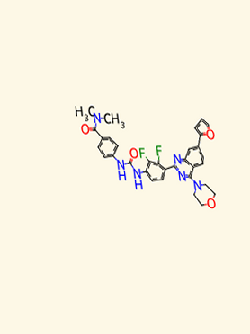 CN(C)C(=O)c1ccc(NC(=O)Nc2ccc(-c3nc(N4CCOCC4)c4ccc(-c5ccco5)cc4n3)c(F)c2F)cc1